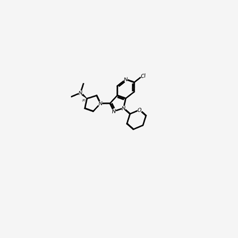 CN(C)[C@@H]1CCN(c2nn(C3CCCCO3)c3cc(Cl)ncc23)C1